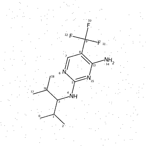 CC(C)C(Nc1ncc(C(F)(F)F)c(N)n1)C(C)C